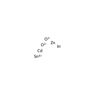 [Cd].[In].[O-2].[O-2].[Sn+4].[Zn]